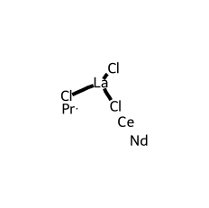 [Ce].[Cl][La]([Cl])[Cl].[Nd].[Pr]